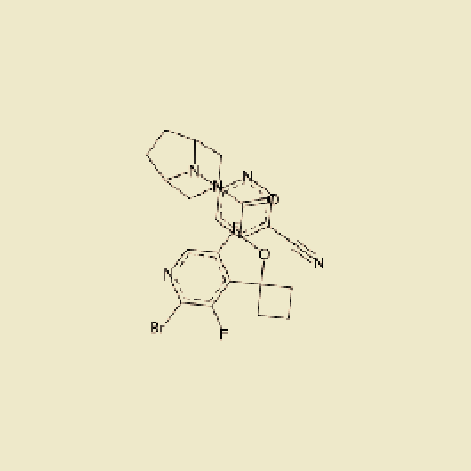 N#Cc1ccc(N2C3CCC2CN(C(=O)COC2(c4c(F)cnc(Br)c4F)CCC2)C3)nc1